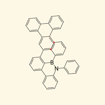 c1ccc(B2c3c(-c4ccc5c6ccccc6c6ccccc6c5c4)cccc3-c3ccccc3N2c2ccccc2)cc1